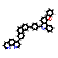 c1cnc2c(c1)ccc1c(-c3ccc4c(ccc5ccc(-c6ccc(-c7nc8ccccc8c8c7ccc7c9ccccc9oc78)cc6)cc54)c3)ccnc12